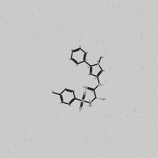 Cc1ccc(S(=O)(=O)N[C@@H](C)C(=O)Oc2cc(-c3ccccc3)n(C)c2)cc1